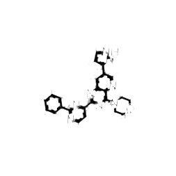 c1ccc(-c2nccc(-c3nc(N4CCOCC4)c4ncc(-c5cc[nH]n5)cc4n3)n2)cc1